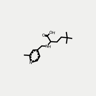 Cc1cc(CNC(CCC(C)(C)C)C(=O)O)ccn1